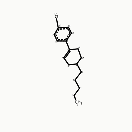 CCCCCC1CC=C(c2ccc(Cl)cc2)CC1